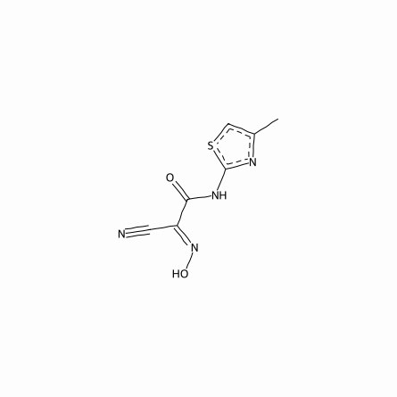 Cc1csc(NC(=O)C(C#N)=NO)n1